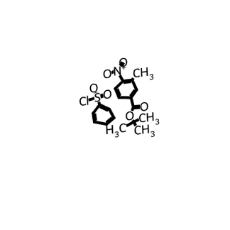 Cc1cc(C(=O)OC(C)(C)C)ccc1[N+](=O)[O-].O=S(=O)(Cl)c1ccccc1